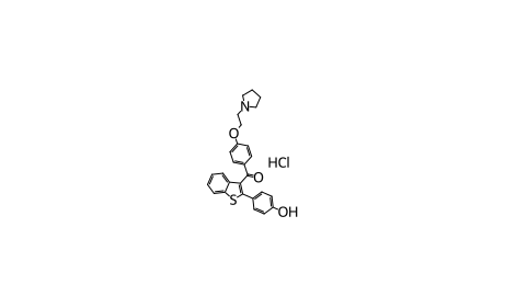 Cl.O=C(c1ccc(OCCN2CCCC2)cc1)c1c(-c2ccc(O)cc2)sc2ccccc12